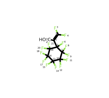 O=C(O)C(=C(F)F)C1(F)C(F)(F)C(F)(F)C(F)(F)C(F)(F)C1(F)F